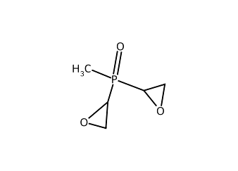 CP(=O)(C1CO1)C1CO1